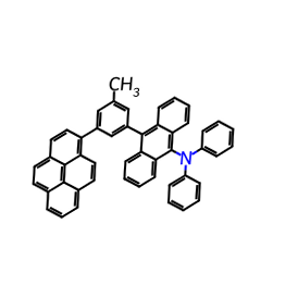 Cc1cc(-c2c3ccccc3c(N(c3ccccc3)c3ccccc3)c3ccccc23)cc(-c2ccc3ccc4cccc5ccc2c3c45)c1